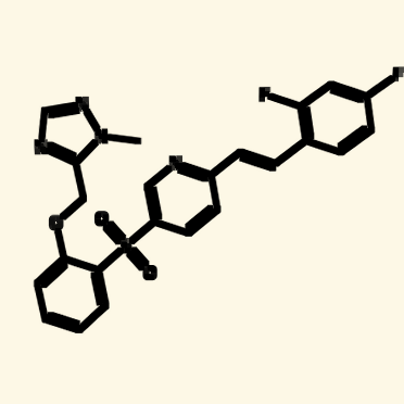 Cn1ncnc1COc1ccccc1S(=O)(=O)c1ccc(C=Cc2ccc(F)cc2F)nc1